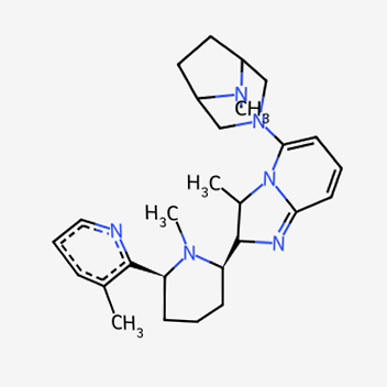 Cc1cccnc1[C@@H]1CCC[C@H](C2N=C3C=CC=C(N4CC5CCC(C4)N5C)N3C2C)N1C